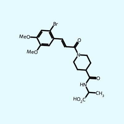 COc1cc(Br)c(C=CC(=O)N2CCC(C(=O)NC(C)C(=O)O)CC2)cc1OC